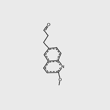 COc1ccc2cc(CCC=O)ccc2n1